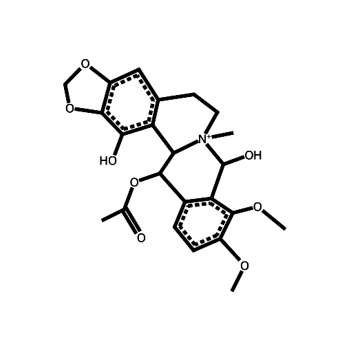 COc1ccc2c(c1OC)C(O)[N+]1(C)CCc3cc4c(c(O)c3C1C2OC(C)=O)OCO4